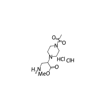 COC(=O)C(CN)N1CCN(S(C)(=O)=O)CC1.Cl.Cl